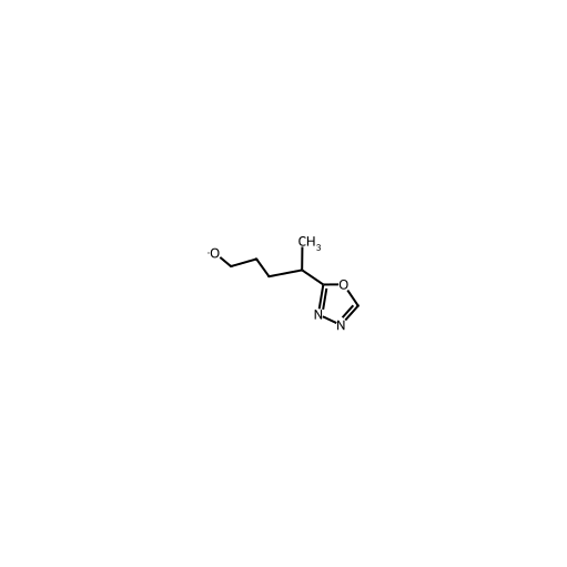 CC(CCC[O])c1nnco1